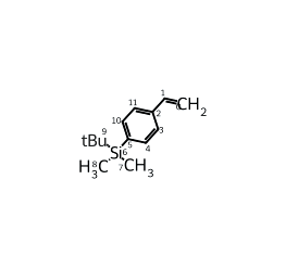 C=Cc1ccc([Si](C)(C)C(C)(C)C)cc1